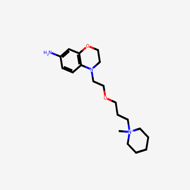 C[N+]1(CCCOCCN2CCOc3cc(N)ccc32)CCCCC1